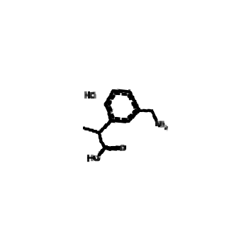 CC(C(=O)O)c1cccc(CN)c1.Cl